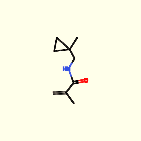 C=C(C)C(=O)NCC1(C)CC1